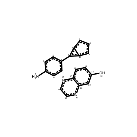 Nc1ccc(-c2c3cccc2-3)cc1.Oc1ccc2nccnc2c1